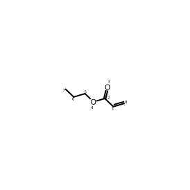 [CH]=CC(=O)OCCC